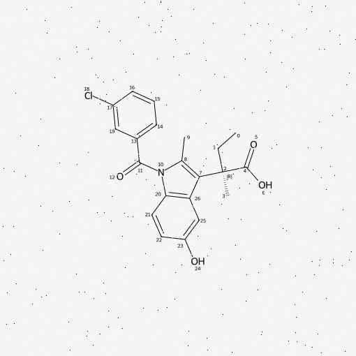 CC[C@@](C)(C(=O)O)c1c(C)n(C(=O)c2cccc(Cl)c2)c2ccc(O)cc12